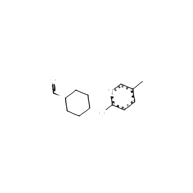 Cc1ccc(O[C@H]2CC[C@H](C=O)CC2)nc1